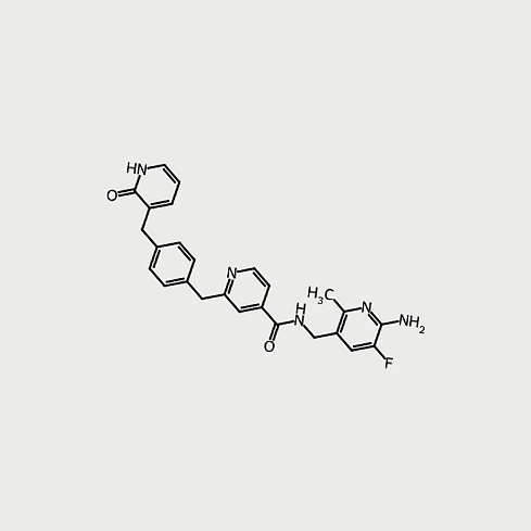 Cc1nc(N)c(F)cc1CNC(=O)c1ccnc(Cc2ccc(Cc3ccc[nH]c3=O)cc2)c1